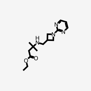 CCOC(=O)CC(C)(C)NCC1CN(c2ncccn2)C1